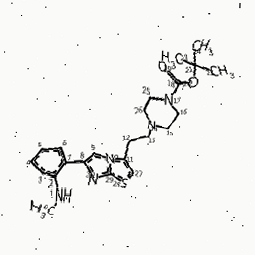 CNc1ccccc1-c1cn2c(CCN3CCN(C(=O)OC(C)(C)C)CC3)csc2n1